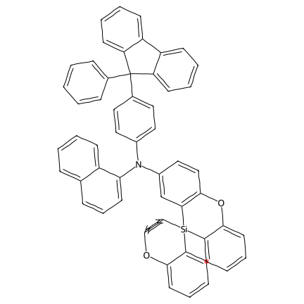 c1ccc(C2(c3ccc(N(c4ccc5c(c4)[Si]4(c6ccccc6Oc6ccccc64)c4ccccc4O5)c4cccc5ccccc45)cc3)c3ccccc3-c3ccccc32)cc1